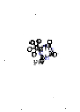 C1=C2/N=C(\C=C3/N=C(\C=C4/N=C(\C=C5N=C\1c1c/5c(-c5ccccc5)c(-c5ccccc5)c(-c5ccccc5)c1-c1ccccc1)c1ccccc14)c1ccccc13)c1ccccc12.[Pd]